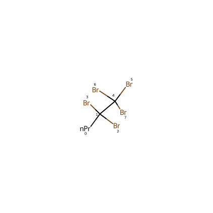 CCCC(Br)(Br)C(Br)(Br)Br